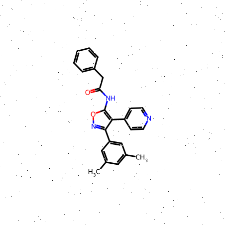 Cc1cc(C)cc(-c2noc(NC(=O)Cc3ccccc3)c2-c2ccncc2)c1